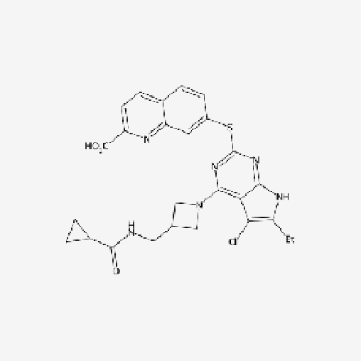 CCc1[nH]c2nc(Sc3ccc4ccc(C(=O)O)nc4c3)nc(N3CC(CNC(=O)C4CC4)C3)c2c1Cl